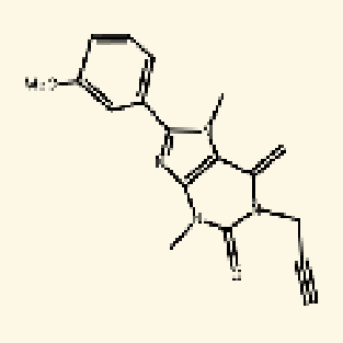 C#CCN1C(=C)c2c(nc(-c3cccc(OC)c3)n2C)N(C)C1=O